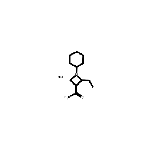 CCC1C(C(N)=O)CN1C1CCCCC1.Cl